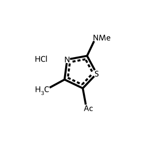 CNc1nc(C)c(C(C)=O)s1.Cl